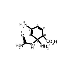 NC(=O)NC1(N)C=C(N)C=CC1C(=O)O